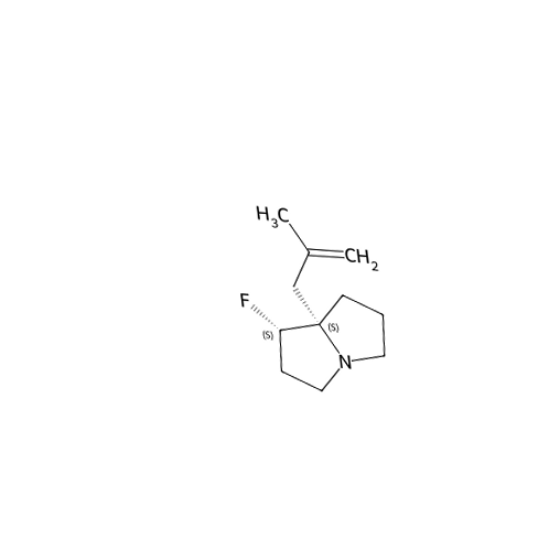 C=C(C)C[C@]12CCCN1CC[C@@H]2F